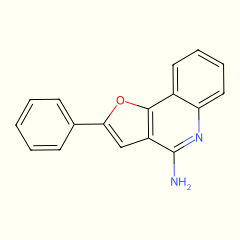 Nc1nc2ccccc2c2oc(-c3ccccc3)cc12